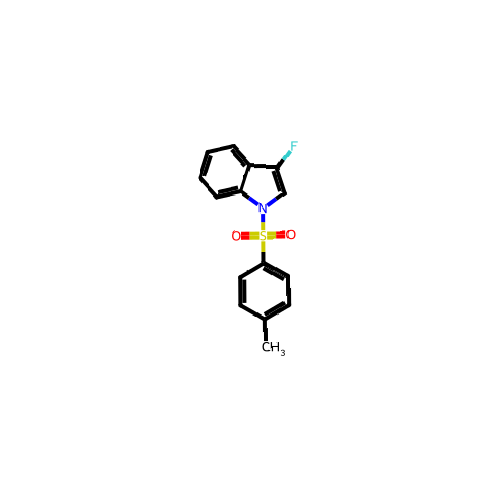 Cc1ccc(S(=O)(=O)n2cc(F)c3ccccc32)cc1